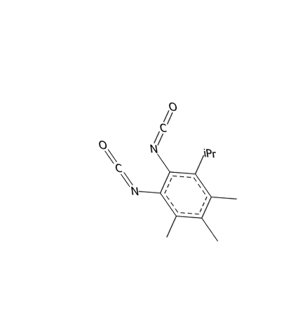 Cc1c(C)c(N=C=O)c(N=C=O)c(C(C)C)c1C